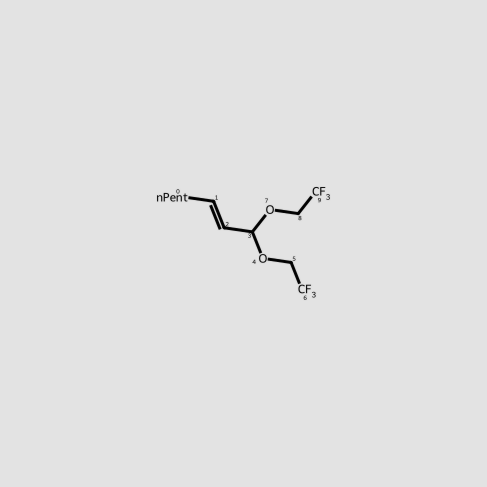 CCCCCC=CC(OCC(F)(F)F)OCC(F)(F)F